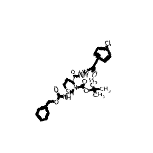 CC(C)(C)OC(=O)N1C[Si@@H](NC(=O)OCc2ccccc2)CC[C@@H]1C(=O)NNC(=O)c1ccc(Cl)cc1